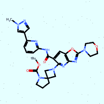 Cn1cc(-c2cccc(NC(=O)c3cc4oc(N5CCOCC5)nc4nc3N3CC4(CCCN4C(=O)OC(C)(C)C)C3)n2)cn1